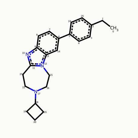 CCc1ccc(-c2ccc3nc4n(c3c2)CCN(C2CCC2)CC4)cc1